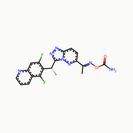 CC(=NOC(N)=O)c1ccc2nnc([C@H](C)c3c(F)cc4ncccc4c3F)n2n1